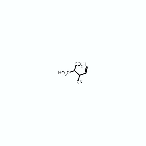 C=CC(C#N)C(C(=O)O)C(=O)O